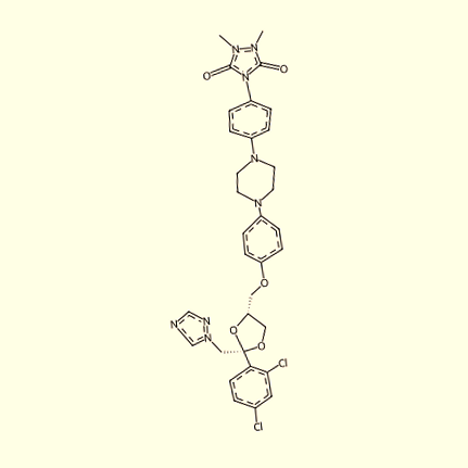 Cn1c(=O)n(-c2ccc(N3CCN(c4ccc(OC[C@@H]5CO[C@@](Cn6cncn6)(c6ccc(Cl)cc6Cl)O5)cc4)CC3)cc2)c(=O)n1C